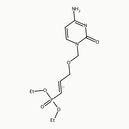 CCOP(=O)(/C=C/COCn1ccc(N)nc1=O)OCC